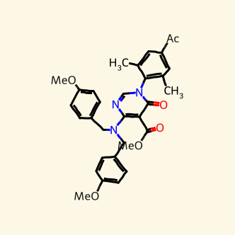 COC(=O)c1c(N(Cc2ccc(OC)cc2)Cc2ccc(OC)cc2)ncn(-c2c(C)cc(C(C)=O)cc2C)c1=O